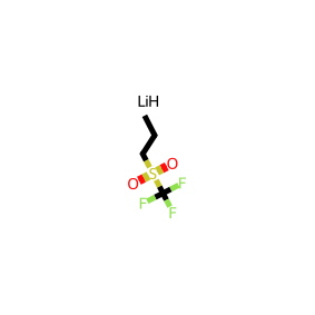 CCCS(=O)(=O)C(F)(F)F.[LiH]